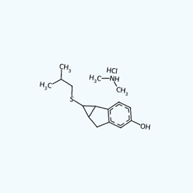 CC(C)CSC1C2Cc3cc(O)ccc3C21.CNC.Cl